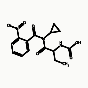 CCC(NC(=O)O)C(=O)N(C(=O)c1ccccc1[N+](=O)[O-])C1CC1